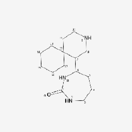 O=C1NCCCC(C2CNCCC23CCCCC3)N1